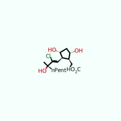 CCCCC[C@](C)(O)C(Cl)=C[C@@H]1[C@H](CC(=O)O)[C@@H](O)C[C@H]1O